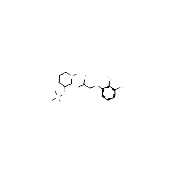 CC(C)(C)[Si](C)(C)O[C@H]1CCCN(C(=O)O)[C@@H]1CC(O)CNc1cccc(Br)c1[N+](=O)[O-]